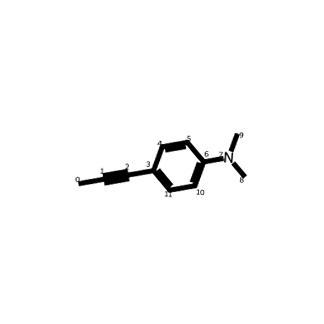 CC#Cc1ccc(N(C)C)cc1